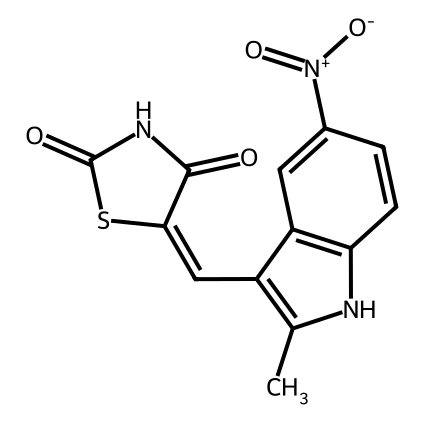 Cc1[nH]c2ccc([N+](=O)[O-])cc2c1/C=C1/SC(=O)NC1=O